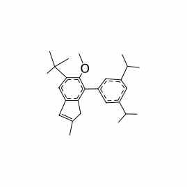 COc1c(C(C)(C)C)cc2c(c1-c1cc(C(C)C)cc(C(C)C)c1)CC(C)=C2